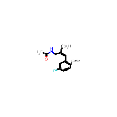 COc1ccc(F)cc1/C=C(\CNC(=O)C(F)(F)F)C(=O)O